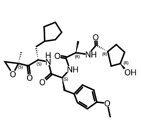 COc1ccc(C[C@H](NC(=O)[C@@H](C)NC(=O)[C@@H]2CC[C@@H](O)C2)C(=O)N[C@@H](CC2CCCC2)C(=O)[C@]2(C)CO2)cc1